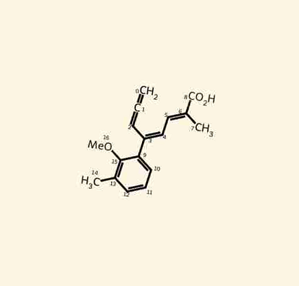 C=C=C/C(=C\C=C(/C)C(=O)O)c1cccc(C)c1OC